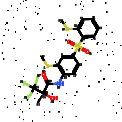 CSc1cc(S(=O)(=O)c2ccccc2SC)ccc1NC(=O)[C@@](C)(O)C(F)(F)F